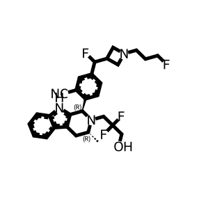 C[C@@H]1Cc2c([nH]c3ccccc23)[C@@H](c2ccc(C(F)C3CN(CCCF)C3)cc2C#N)N1CC(F)(F)CO